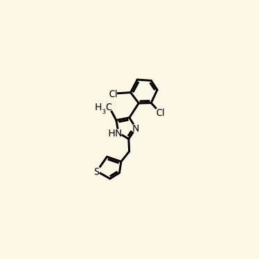 Cc1[nH]c(Cc2ccsc2)nc1-c1c(Cl)cccc1Cl